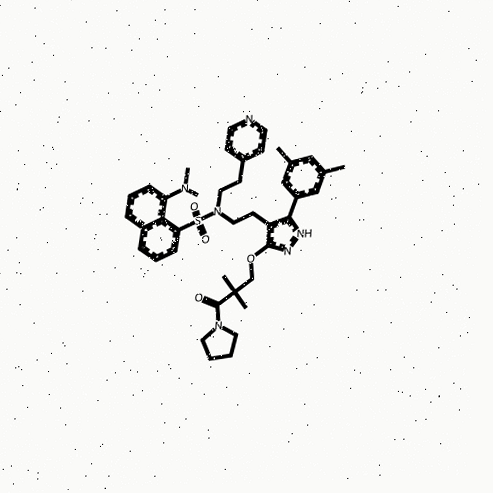 Cc1cc(C)cc(-c2[nH]nc(OCC(C)(C)C(=O)N3CCCC3)c2CCN(CCc2ccncc2)S(=O)(=O)c2cccc3cccc(N(C)C)c23)c1